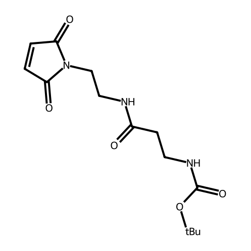 CC(C)(C)OC(=O)NCCC(=O)NCCN1C(=O)C=CC1=O